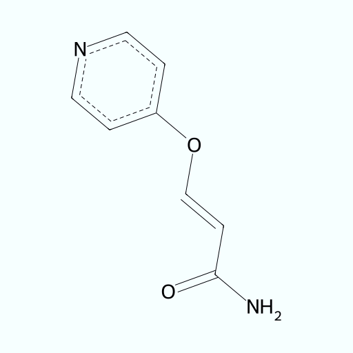 NC(=O)C=COc1ccncc1